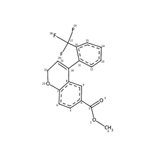 COC(=O)c1ccc2c(c1)C(c1ccccc1C(F)(F)F)=CCO2